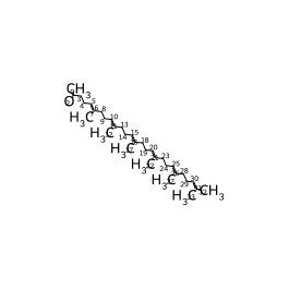 CC(=O)CC/C=C(\C)CC/C=C(\C)CC/C=C(\C)CC/C=C(\C)CC/C=C(\C)CCC=C(C)C